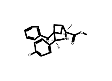 COC(=O)[C@@]1(C)N[C@@H](c2ccc(Cl)cc2)C2(C(=O)c3ccccc3)CC1C2